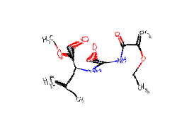 C=C(OCC)C(=O)NC(=O)N[C@H](C(=O)OC)C(C)C